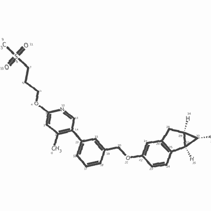 Cc1cc(OCCCS(C)(=O)=O)ncc1-c1cccc(COc2ccc3c(c2)C[C@H]2[C@H](C)[C@@H]32)c1